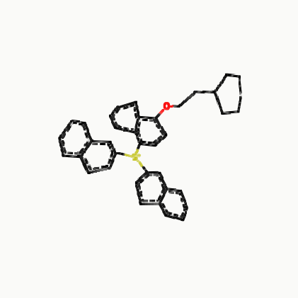 c1ccc2cc([S+](c3ccc4ccccc4c3)c3ccc(OCCC4CCCCC4)c4ccccc34)ccc2c1